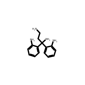 NCCC(N)(c1ccccc1N)c1ccccc1N